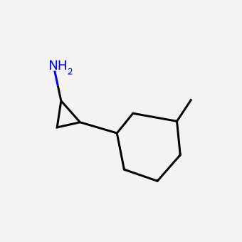 CC1CCCC(C2CC2N)C1